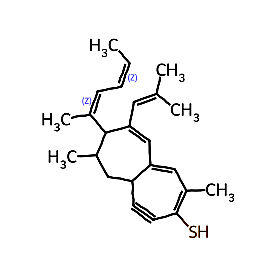 C/C=C\C=C(\C)C1C(C=C(C)C)=CC2=CC(C)=C(S)C#CC2CC1C